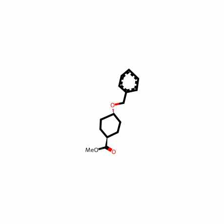 COC(=O)[C@H]1CC[C@H](OCc2ccccc2)CC1